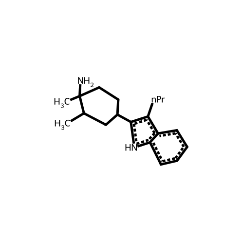 CCCc1c(C2CCC(C)(N)C(C)C2)[nH]c2ccccc12